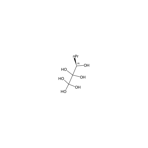 CCC[C@@H](O)C(O)(O)C(O)(O)O